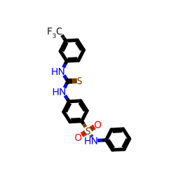 O=S(=O)(Nc1ccccc1)c1ccc(NC(=S)Nc2cccc(C(F)(F)F)c2)cc1